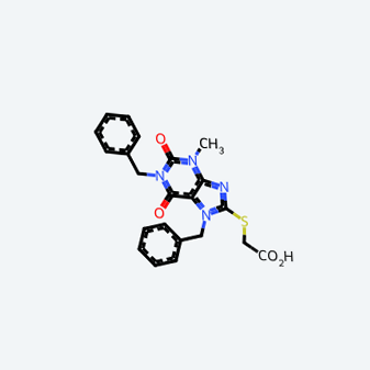 Cn1c(=O)n(Cc2ccccc2)c(=O)c2c1nc(SCC(=O)O)n2Cc1ccccc1